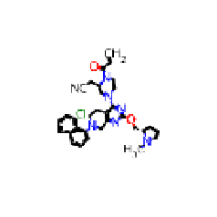 C=CC(=O)N1CCN(c2nc(OC[C@@H]3CCCN3C)nc3c2CCN(c2cccc4cccc(Cl)c24)C3)CC1CC#N